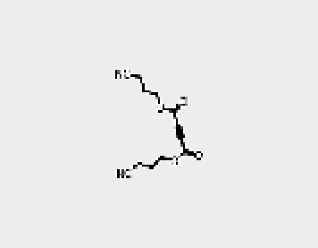 N#CCCCOC(=O)C#CC(=O)OCCCC#N